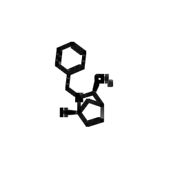 C[C@H]1C2C=C[C@@H](C2)N1Cc1ccccc1